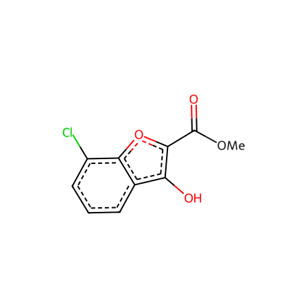 COC(=O)c1oc2c(Cl)cccc2c1O